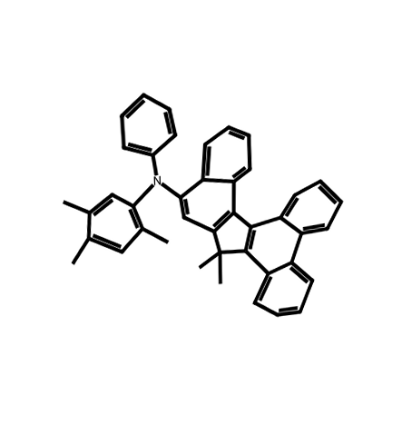 Cc1cc(C)c(N(c2ccccc2)c2cc3c(c4ccccc24)-c2c(c4ccccc4c4ccccc24)C3(C)C)cc1C